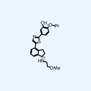 COCCN[C@H]1CCc2c(-c3cnc(-c4ccc(OC(C)C)c(C)c4)s3)cccc21